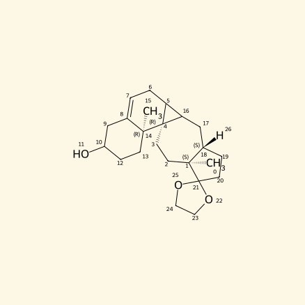 C[C@]12CC[C@@]34C(CC=C5CC(O)CC[C@@]53C)C4C[C@@H]1CCC21OCCO1